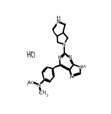 CC(=O)N(C)c1ccc(-c2nc(N3CC4CNCC4C3)nc3[nH]cnc23)cc1.Cl